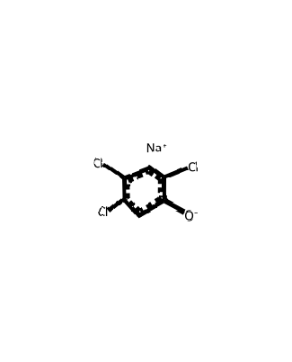 [Na+].[O-]c1cc(Cl)c(Cl)cc1Cl